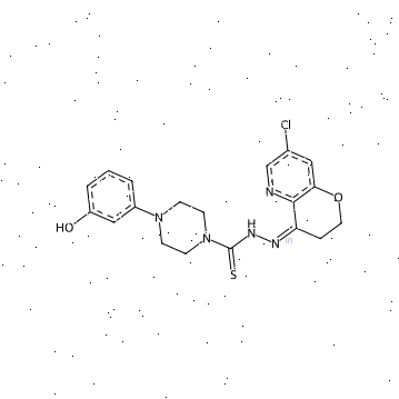 Oc1cccc(N2CCN(C(=S)N/N=C3/CCOc4cc(Cl)cnc43)CC2)c1